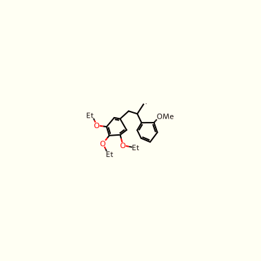 [CH2]C(Cc1cc(OCC)c(OCC)c(OCC)c1)c1ccccc1OC